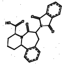 O=C(O)C1CCCC2c3ccccc3CC(N3C(=O)c4ccccc4C3=O)C(=O)N12